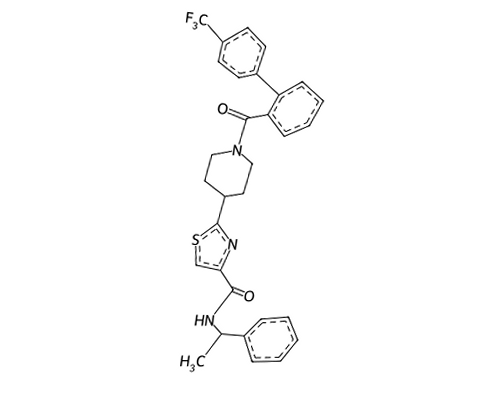 CC(NC(=O)c1csc(C2CCN(C(=O)c3ccccc3-c3ccc(C(F)(F)F)cc3)CC2)n1)c1ccccc1